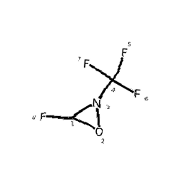 FC1ON1C(F)(F)F